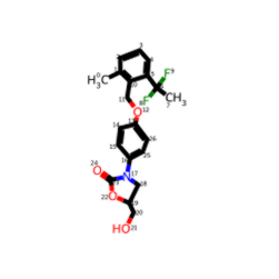 Cc1cccc(C(C)(F)F)c1COc1ccc(N2CC(CO)OC2=O)cc1